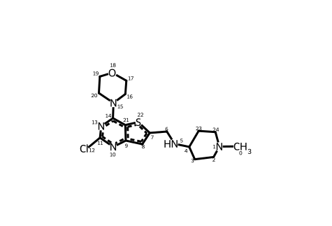 CN1CCC(NCc2cc3nc(Cl)nc(N4CCOCC4)c3s2)CC1